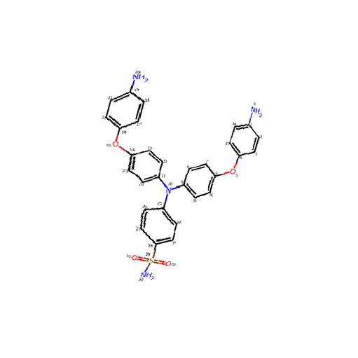 Nc1ccc(Oc2ccc(N(c3ccc(Oc4ccc(N)cc4)cc3)c3ccc(S(N)(=O)=O)cc3)cc2)cc1